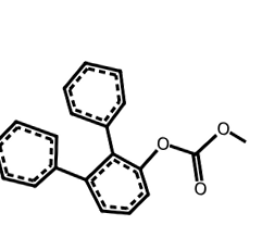 COC(=O)Oc1cccc(-c2ccccc2)c1-c1ccccc1